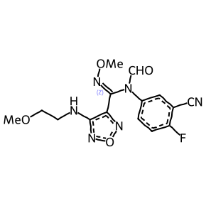 COCCNc1nonc1/C(=N/OC)N(C=O)c1ccc(F)c(C#N)c1